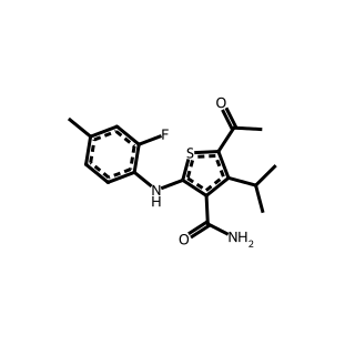 CC(=O)c1sc(Nc2ccc(C)cc2F)c(C(N)=O)c1C(C)C